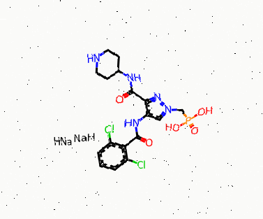 O=C(NC1CCNCC1)c1nn(CP(=O)(O)O)cc1NC(=O)c1c(Cl)cccc1Cl.[NaH].[NaH]